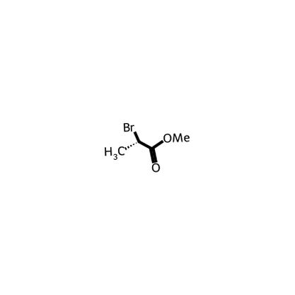 COC(=O)[C@H](C)Br